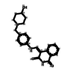 O=C1NC(=O)c2ccccc2/C1=C/Nc1ccc(CN2CCC(O)CC2)cc1